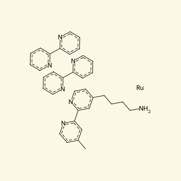 Cc1ccnc(-c2cc(CCCCN)ccn2)c1.[Ru].c1ccc(-c2ccccn2)nc1.c1ccc(-c2ccccn2)nc1